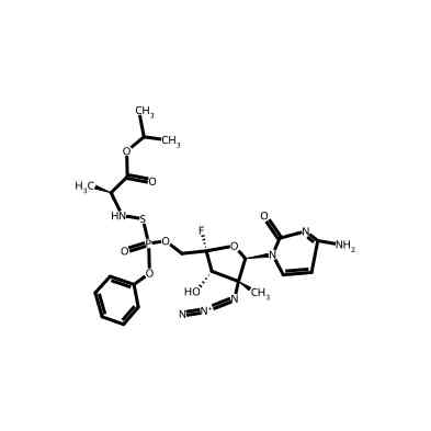 CC(C)OC(=O)[C@H](C)NSP(=O)(OC[C@@]1(F)O[C@@H](n2ccc(N)nc2=O)[C@](C)(N=[N+]=[N-])[C@@H]1O)Oc1ccccc1